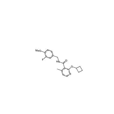 COc1ccc(CNC(=O)c2c(C)ccnc2OC2CCC2)cc1F